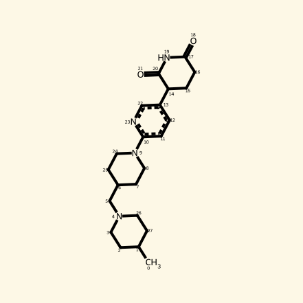 CC1CCN(CC2CCN(c3ccc(C4CCC(=O)NC4=O)cn3)CC2)CC1